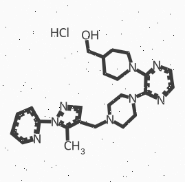 Cc1c(CN2CCN(c3nccnc3N3CCC(CO)CC3)CC2)cnn1-c1ccccn1.Cl